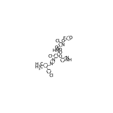 CC1(C)CCC(CN2CCN(c3cc(Oc4cccc5[nH]ncc45)c(C(=O)NS(=O)(=O)c4cnc(OCC5(F)CCOCC5)c(Cl)c4)cc3Cl)CC2)=C(c2ccc(Cl)cc2)C1